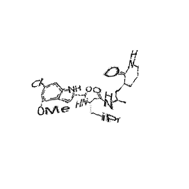 COc1cc(Cl)cc2[nH]c(C(=O)N[C@@H](CC(C)C)C(=O)N[C@H](C)C[C@@H]3CCCNC3=O)cc12